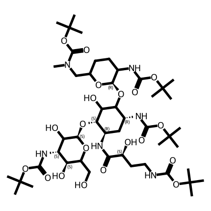 CN(CC1CCC(NC(=O)OC(C)(C)C)[C@@H](OC2C(O)[C@@H](O[C@H]3OC(CO)[C@@H](O)[C@H](NC(=O)OC(C)(C)C)C3O)[C@H](NC(=O)[C@@H](O)CCNC(=O)OC(C)(C)C)C[C@H]2NC(=O)OC(C)(C)C)O1)C(=O)OC(C)(C)C